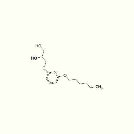 CCCCCCOc1cccc(OCC(O)CO)c1